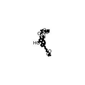 CC(C)C(NC(=O)OC(C)(C)C)C(=O)N1CCC2(C)C(CC(O)C3C4CCC(CCCCC(=O)OC(C)(C)C)C4(C)CCC32)C1